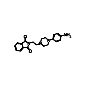 Nc1ccc(N2CCN(CCN3C(=O)c4ccccc4C3=O)CC2)cc1